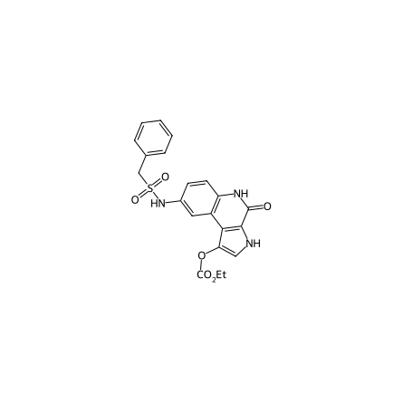 CCOC(=O)Oc1c[nH]c2c(=O)[nH]c3ccc(NS(=O)(=O)Cc4ccccc4)cc3c12